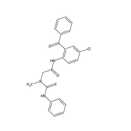 CN(CC(=O)Nc1ccc(Cl)cc1C(=O)c1ccccc1)C(=S)Nc1ccccc1